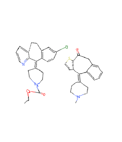 CCOC(=O)N1CCC(=C2c3ccc(Cl)cc3CCc3cccnc32)CC1.CN1CCC(=C2c3ccccc3CC(=O)c3sccc32)CC1